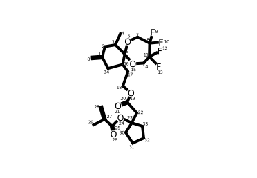 C=C1CC(C)C2(OCC(F)(F)C(F)(F)CO2)C(CCOC(=O)CC2(OC(=O)C(=C)C)CCCC2)C1